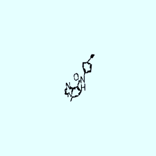 C#Cc1ccc(NC(=O)c2ccc(C)n3ccnc23)cc1